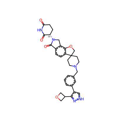 O=C1CC[C@H](N2Cc3c(ccc4c3OCC43CCN(Cc4cccc(-c5c[nH]nc5C5COC5)c4)CC3)C2=O)C(=O)N1